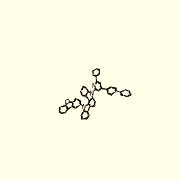 c1ccc(-c2ccc(-c3cc(-c4ccccc4)nc(-n4c5ccccc5c5c4ccc4c6ccccc6n(-c6ccc7oc8ccccc8c7c6)c45)c3)cc2)cc1